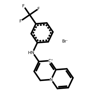 FC(F)(F)c1cccc(NC2=CCN3C=CC=CC3=[C+]2)c1.[Br-]